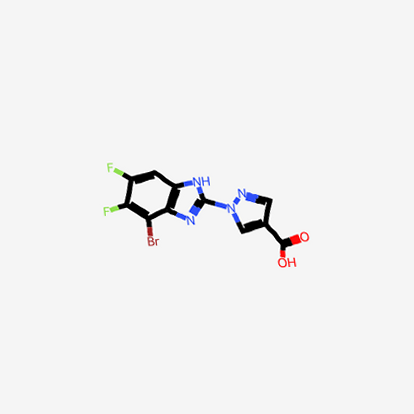 O=C(O)c1cnn(-c2nc3c(Br)c(F)c(F)cc3[nH]2)c1